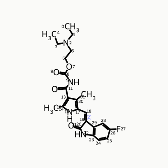 CCN(CC)CCOC(=O)NC(=O)c1c(C)[nH]c(/C=C2\C(=O)Nc3ccc(F)cc32)c1C